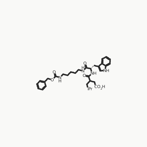 CC(C)CC(CC(=O)O)C(=O)N[C@@H](Cc1c[nH]c2ccccc12)C(=O)NCCCCCNC(=O)OCc1ccccc1